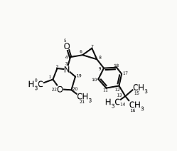 CC1CN(C(=O)C2CC2c2ccc(C(C)(C)C)cc2)CC(C)O1